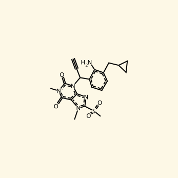 C#CC(c1cccc(CC2CC2)c1N)n1c(=O)n(C)c(=O)c2c1nc(S(C)(=O)=O)n2C